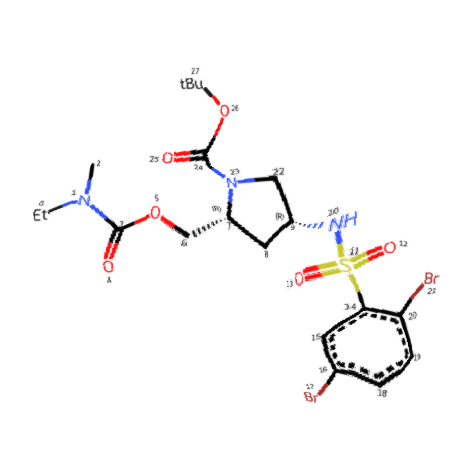 CCN(C)C(=O)OC[C@H]1C[C@@H](NS(=O)(=O)c2cc(Br)ccc2Br)CN1C(=O)OC(C)(C)C